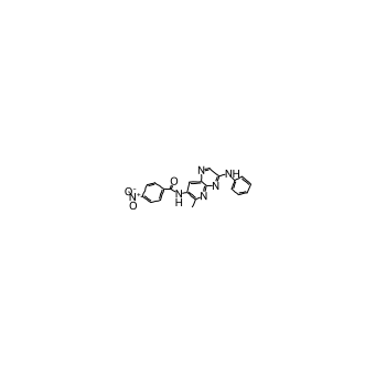 Cc1nc2nc(Nc3ccccc3)cnc2cc1NC(=O)c1ccc([N+](=O)[O-])cc1